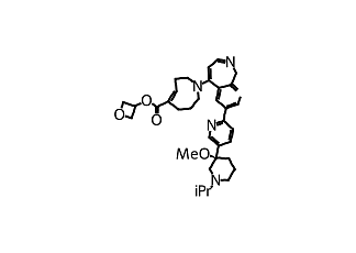 C=C1CN=CC=C(N2CC/C=C(\C(=O)OC3COC3)CCC2)/C1=C/C(=C\C)c1ccc([C@]2(OC)CCCN(C(C)C)C2)cn1